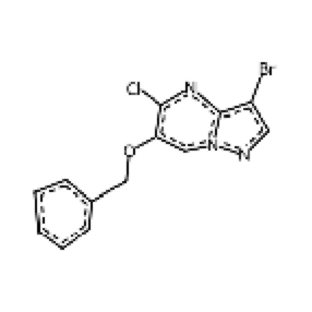 Clc1nc2c(Br)cnn2cc1OCc1ccccc1